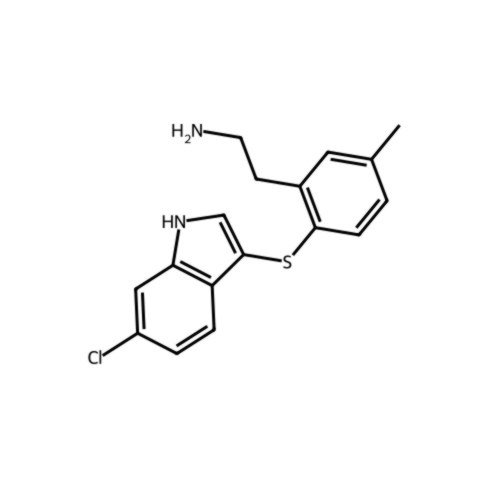 Cc1ccc(Sc2c[nH]c3cc(Cl)ccc23)c(CCN)c1